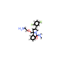 CN(C)C(=O)N1CC(c2cc(F)ccc2F)=CC1(COCCN)c1ccccc1